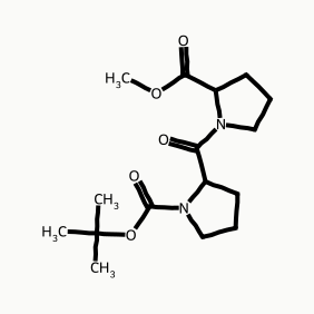 COC(=O)C1CCCN1C(=O)C1CCCN1C(=O)OC(C)(C)C